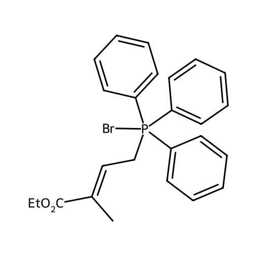 CCOC(=O)/C(C)=C/CP(Br)(c1ccccc1)(c1ccccc1)c1ccccc1